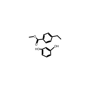 CCc1ccc(C(=O)OC)cc1.Oc1cccc(O)c1